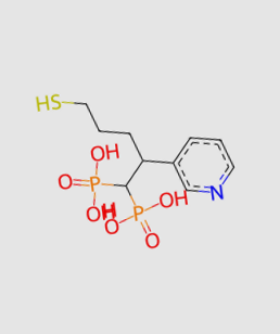 O=P(O)(O)C(C(CCCS)c1cccnc1)P(=O)(O)O